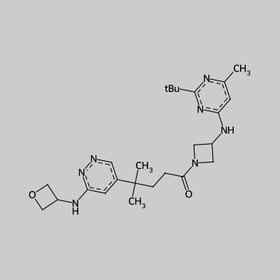 Cc1cc(NC2CN(C(=O)CCC(C)(C)c3cnnc(NC4COC4)c3)C2)nc(C(C)(C)C)n1